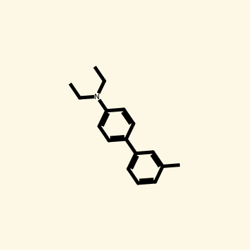 CCN(CC)c1ccc(-c2cccc(C)c2)cc1